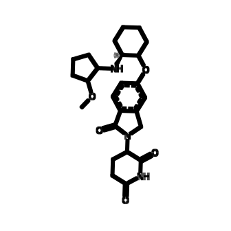 COC1CCCC1N[C@H]1CCCCC1Oc1ccc2c(c1)CN(C1CCC(=O)NC1=O)C2=O